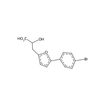 O=C(O)C(O)Cc1ccc(-c2ccc(Br)cc2)o1